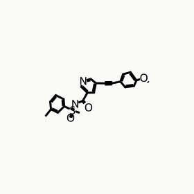 COc1ccc(C#Cc2cncc(C(=O)N=S(C)(=O)c3cccc(C)c3)c2)cc1